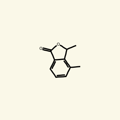 C[C]1OC(=O)c2cccc(C)c21